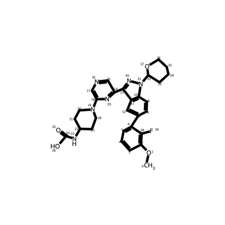 COc1cccc(-c2ccc3c(c2)c(-c2cncc(N4CCC(NC(=O)O)CC4)n2)nn3C2CCCCO2)c1F